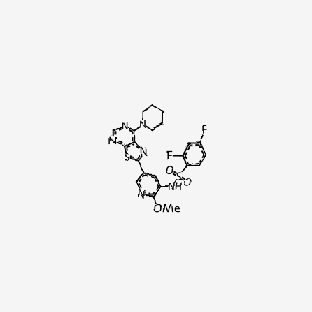 COc1ncc(-c2nc3c(N4CCCCC4)ncnc3s2)cc1NS(=O)(=O)c1ccc(F)cc1F